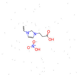 C=CN1C=CN(CCC(=O)O)C1.O=[N+]([O-])O